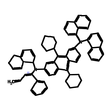 C=C/C=C(\c1ccccc1)N(c1ccc2c(C3CCCCC3)c3ccc(N(c4cccc5ccccc45)c4cccc5ccccc45)cc3c(C3CCCCC3)c2c1)C1C=CC=C2CCC=CC21